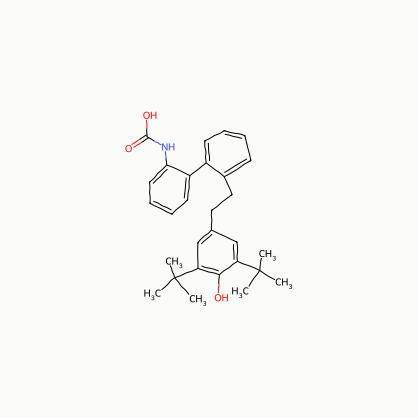 CC(C)(C)c1cc(CCc2ccccc2-c2ccccc2NC(=O)O)cc(C(C)(C)C)c1O